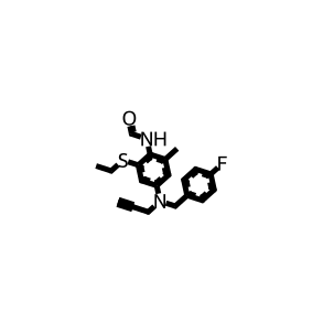 C#CCN(Cc1ccc(F)cc1)c1cc(C)c(NC=O)c(SCC)c1